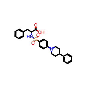 O=C(O)C(Cc1ccccc1)NS(=O)(=O)c1ccc(N2CCC(c3ccccc3)CC2)cc1